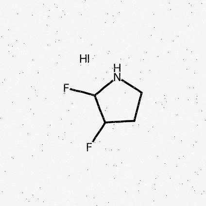 FC1CCNC1F.I